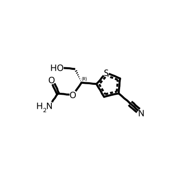 N#Cc1csc([C@@H](CO)OC(N)=O)c1